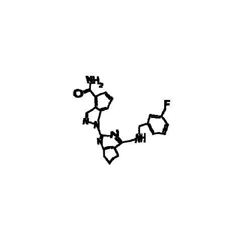 NC(=O)c1cccc2c1cnn2-c1nc2c(c(NCc3cccc(F)c3)n1)CCC2